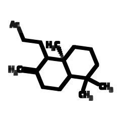 C=C1CCC2C(C)(C)CCC[C@]2(C)C1CCC(C)=O